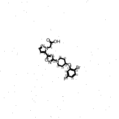 O=C(O)Cn1nccc1-c1nc(N2CCC(Oc3cc(F)ccc3Br)CC2)no1